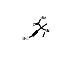 C[SiH](C)C(C)(C#CC=O)C(=O)C(C)(C)C